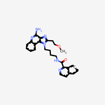 COCCc1nc2c(N)nc3ccccc3c2n1CCCCNC(=O)c1nccc2ccccc12